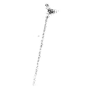 COCCOCCOCCOCCOCCOCCOCCOCCOCCOCCOCCOCCOCCOCCOCCOCCOCCOCCOCCOCCOCCOCCNC(=O)CCC(=O)OC[C@@H](c1ccc(-c2scnc2C)cc1)N(C=O)[C@@H]1C[C@@H](O)CN1C(=O)[C@@H](N)C(C)(C)C.Cl